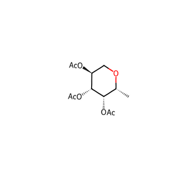 CC(=O)O[C@@H]1[C@H](OC(C)=O)[C@@H](OC(C)=O)CO[C@@H]1C